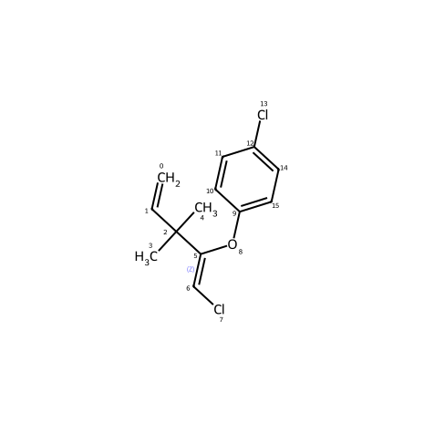 C=CC(C)(C)/C(=C/Cl)Oc1ccc(Cl)cc1